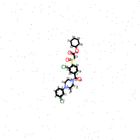 C[C@@H]1[C@@H](C)N(c2cccc(Cl)c2)CCN1C(=O)c1ccc([S+]([O-])CC(=O)OC2CCCCC2)c(Cl)c1